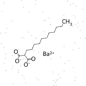 CCCCCCCCCCCC(C(=O)[O-])C(=O)[O-].[Ba+2]